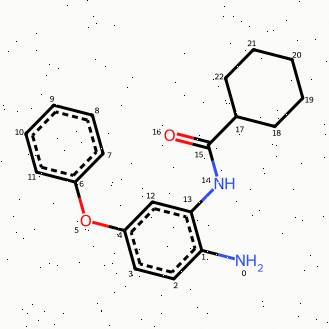 Nc1ccc(Oc2ccccc2)cc1NC(=O)C1CCCCC1